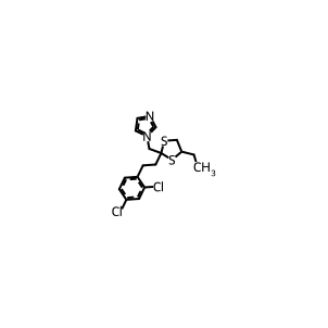 CCC1CSC(CCc2ccc(Cl)cc2Cl)(Cn2ccnc2)S1